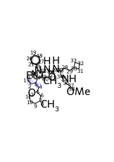 CC/C=C\C(=C/C1CC(C)CCCO1)c1nn(-c2ccccc2)c(NC(=O)N[C@@H](CCC2CCC2)CNCCOC)c1C